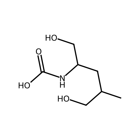 CC(CO)CC(CO)NC(=O)O